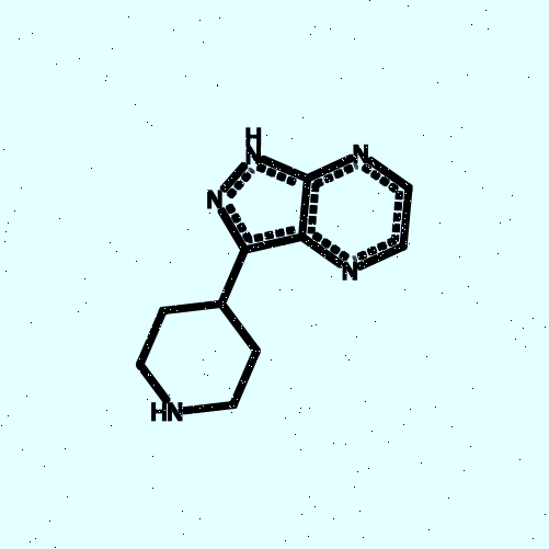 c1cnc2c(C3CCNCC3)n[nH]c2n1